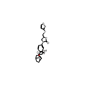 O=C1OC(COc2ccon2)CN1c1ccc(C2=CC3CCC(C2)N3C(=O)CO)c(F)c1